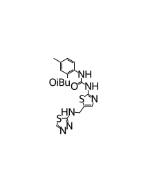 Cc1ccc(NC(=O)Nc2ncc(CNc3nncs3)s2)c(OCC(C)C)c1